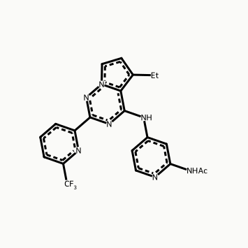 CCc1ccn2nc(-c3cccc(C(F)(F)F)n3)nc(Nc3ccnc(NC(C)=O)c3)c12